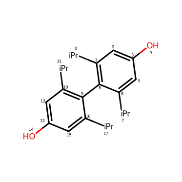 CC(C)c1cc(O)cc(C(C)C)c1-c1c(C(C)C)cc(O)cc1C(C)C